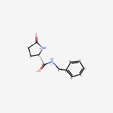 O=C1CC[C@@H](C(=O)NCc2ccccc2)N1